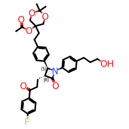 CC(=O)OC1(CCc2ccc([C@@H]3[C@@H](CCC(=O)c4ccc(F)cc4)C(=O)N3c3ccc(CCCO)cc3)cc2)COC(C)(C)OC1